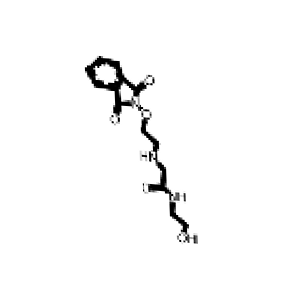 O=C(CNCCON1C(=O)c2ccccc2C1=O)NCCO